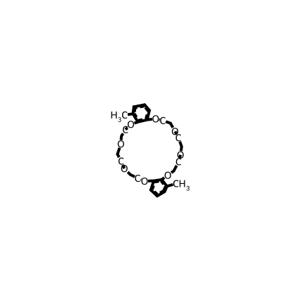 Cc1cccc2c1OCCOCCOCCOc1cccc(C)c1OCCOCCOCCO2